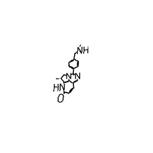 CNCc1ccc(C2=NC=C3C=CC(=O)NC4=C3N2C[C@@H]4C)cc1